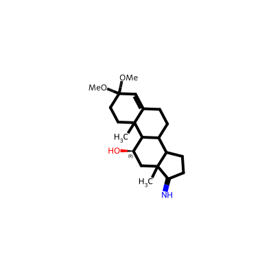 COC1(OC)C=C2CCC3C4CCC(=N)C4(C)C[C@@H](O)C3C2(C)CC1